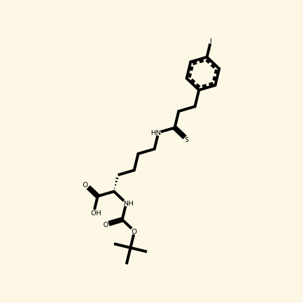 CC(C)(C)OC(=O)N[C@@H](CCCCNC(=S)CCc1ccc(I)cc1)C(=O)O